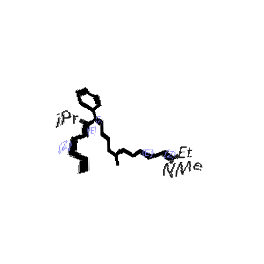 C=C\C=C/C=C(/C(=C\CCCC(C)CC/C=C/C=C(/CC)NC)c1ccccc1)C(C)C